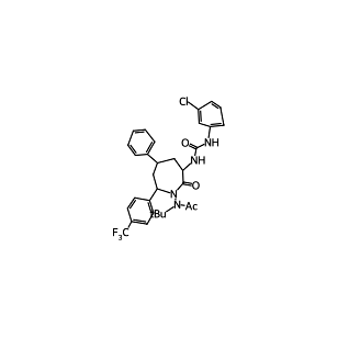 CC(=O)N(N1C(=O)C(NC(=O)Nc2cccc(Cl)c2)CC(c2ccccc2)CC1c1ccc(C(F)(F)F)cc1)C(C)(C)C